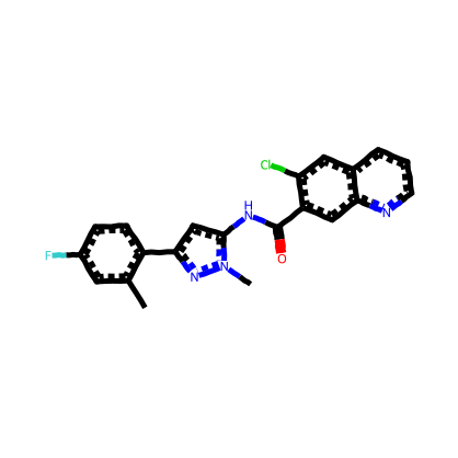 Cc1cc(F)ccc1-c1cc(NC(=O)c2cc3ncccc3cc2Cl)n(C)n1